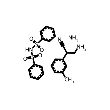 Cc1cccc(C(C#N)CN)c1.N.O=S(=O)(NS(=O)(=O)c1ccccc1)c1ccccc1